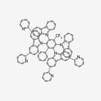 FC(F)(F)c1c(-n2c3ccccc3c3ccccc32)c(-n2c3ccc(-c4ccccn4)cc3c3cc(-c4ccccn4)ccc32)c(-c2ccccc2)c(-n2c3ccc(-c4ccccn4)cc3c3cc(-c4ccccn4)ccc32)c1-n1c2ccccc2c2ccccc21